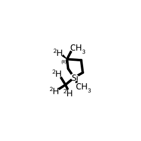 [2H]C([2H])([2H])[Si]1(C)CC[C@@]([2H])(C)C1